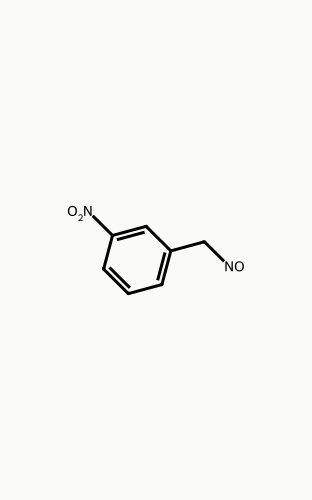 O=NCc1cccc([N+](=O)[O-])c1